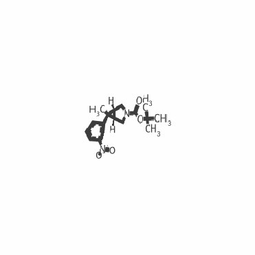 CC(C)(C)OC(=O)N1C[C@@H]2[C@H](C1)C2(C)c1cccc([N+](=O)[O-])c1